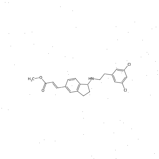 COC(=O)/C=C/c1ccc2c(c1)CCC2NCCc1cc(Cl)cc(Cl)c1